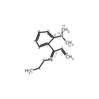 C=C/C(=N/CCC)c1ccccc1N(C)C